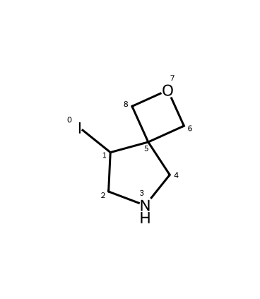 IC1CNCC12COC2